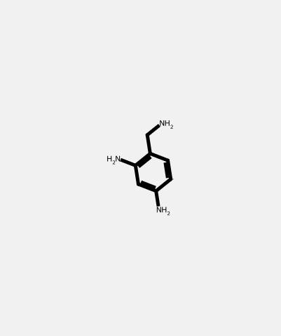 NCc1c[c]c(N)cc1N